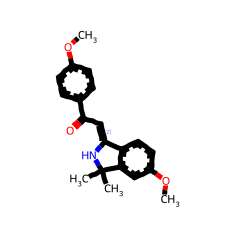 COc1ccc(C(=O)/C=C2\NC(C)(C)c3cc(OC)ccc32)cc1